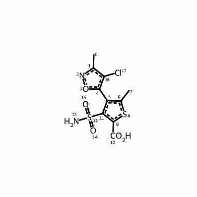 Cc1noc(-c2c(C)sc(C(=O)O)c2S(N)(=O)=O)c1Cl